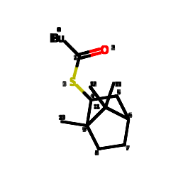 CCC(C)C(=O)SC1CC2CCC1(C)C2(C)C